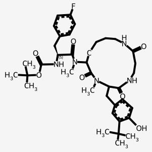 CN1C(=O)C(N(C)C(=O)[C@H](Cc2ccc(F)cc2)NC(=O)OC(C)(C)C)CCCCNC(=O)CCNC(=O)C1Cc1ccc(O)c(C(C)(C)C)c1